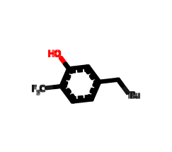 CCC(C)Cc1ccc(C(F)(F)F)c(O)c1